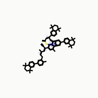 C#C/C(=C\C(C)=C/Cc1cc(-c2ccc3c(c2)C(C)(C)CCC3(C)C)ccc1C)c1cc(C)c2c3cc(-c4ccc5c(c4)C(C)(C)CCC5(C)C)cc(c3N)\c3c2c1SC(=C)/C=C(c1ccc2c(c1)C(C)(C)CCC2(C)C)\C=3